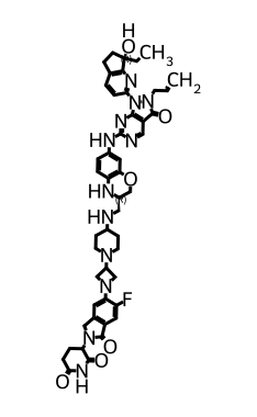 C=CCn1c(=O)c2cnc(Nc3ccc4c(c3)OC[C@@H](CNC3CCN(C5CN(c6cc7c(cc6F)C(=O)N(C6CCC(=O)NC6=O)C7)C5)CC3)N4)nc2n1-c1ccc2c(n1)[C@@](O)(CC)CC2